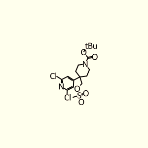 CC(C)(C)OC(=O)N1CCC(COS(C)(=O)=O)(c2cc(Cl)nc(Cl)c2)CC1